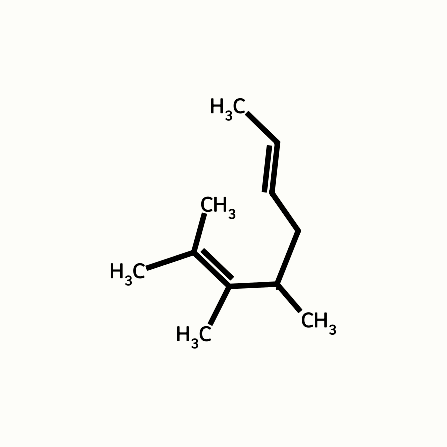 CC=CC[C](C)C(C)=C(C)C